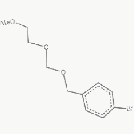 COCCOCOCc1ccc(Br)cc1